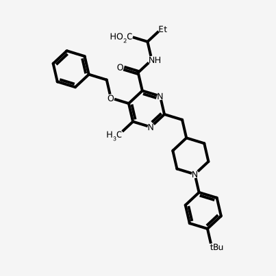 CCC(NC(=O)c1nc(CC2CCN(c3ccc(C(C)(C)C)cc3)CC2)nc(C)c1OCc1ccccc1)C(=O)O